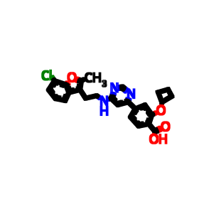 Cc1oc2c(Cl)cccc2c1CCNc1cc(-c2ccc(C(=O)O)c(OC3CCC3)c2)ncn1